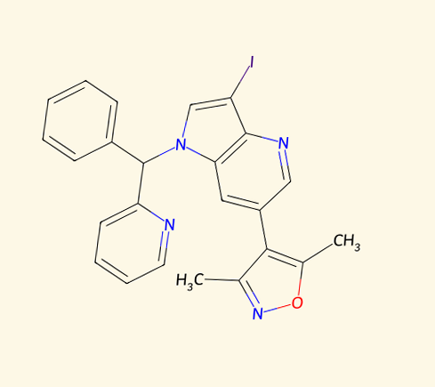 Cc1noc(C)c1-c1cnc2c(I)cn(C(c3ccccc3)c3ccccn3)c2c1